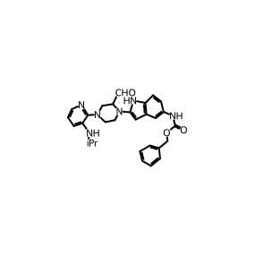 CC(C)Nc1cccnc1N1CCN(c2cc3cc(NC(=O)OCc4ccccc4)ccc3[nH]2)C(C=O)C1